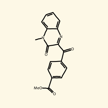 COC(=O)c1ccc(C(=O)c2nc3ccccc3n(C)c2=O)cc1